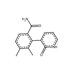 Cc1ccc(C(N)=O)c(-c2ccc[nH]c2=O)c1C